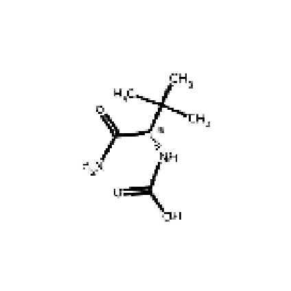 CC(C)(C)[C@H](NC(=O)O)C(N)=O